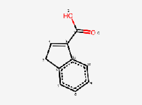 O=C(O)C1=CCc2ccccc21